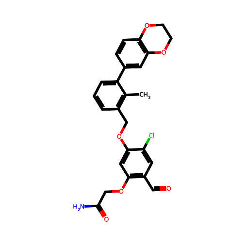 Cc1c(COc2cc(OCC(N)=O)c(C=O)cc2Cl)cccc1-c1ccc2c(c1)OCCO2